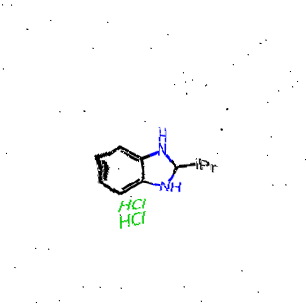 CC(C)C1Nc2ccccc2N1.Cl.Cl